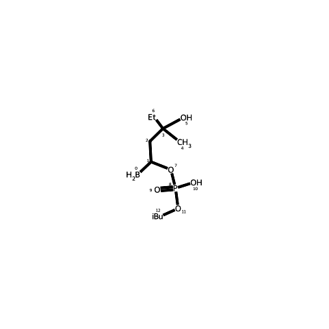 BC(CC(C)(O)CC)OP(=O)(O)OC(C)CC